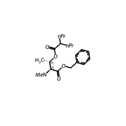 CCCC(CCC)C(=O)O[C@@H](C)[C@H](NC)C(=O)OCc1ccccc1